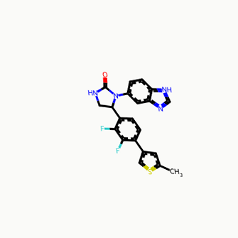 Cc1cc(-c2ccc(C3CNC(=O)N3c3ccc4[nH]cnc4c3)c(F)c2F)cs1